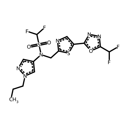 CCCn1cc(N(Cc2ncc(-c3nnc(C(F)F)o3)s2)S(=O)(=O)C(F)F)cn1